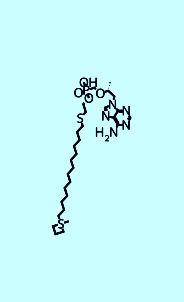 C[C@H](Cn1cnc2c(N)ncnc21)OCP(=O)(O)OCCSCCCCCCCCCCCCCCS1(C)CCC1